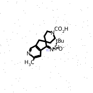 Cc1cc2c(cn1)CC1(CCN(C(=O)O)CC1)/C2=N\[S@+]([O-])C(C)(C)C